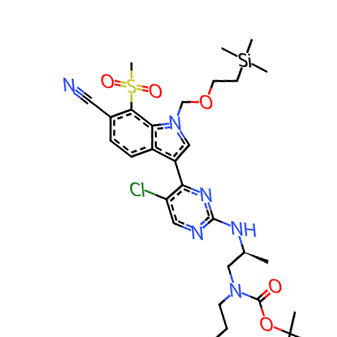 CCCN(C[C@H](C)Nc1ncc(Cl)c(-c2cn(COCC[Si](C)(C)C)c3c(S(C)(=O)=O)c(C#N)ccc23)n1)C(=O)OC(C)(C)C